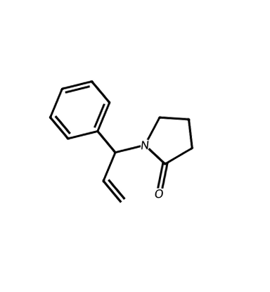 C=CC(c1ccccc1)N1CCCC1=O